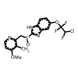 COc1ccnc(C[S+]([O-])c2nc3cc(OC(F)(F)C(F)Cl)ccc3[nH]2)c1C